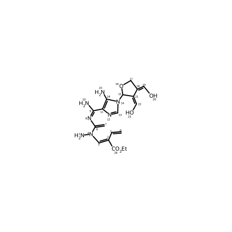 C=C/C(=C\N(N)C(=C)/N=C(/N)c1ncn(C2OCC(=C/O)/C2=C/O)c1N)C(=O)OCC